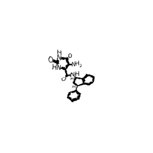 Nc1c(C(=O)N[C@@H]2C[C@H](c3ccccc3)c3ccccc32)[nH]c(=O)[nH]c1=O